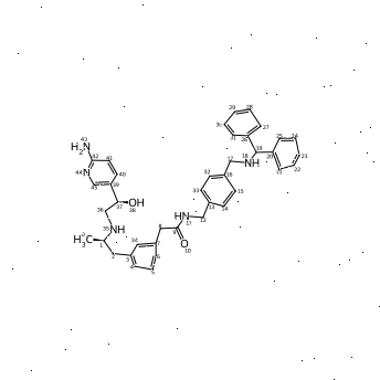 C[C@H](Cc1cccc(CC(=O)NCc2ccc(CNC(c3ccccc3)c3ccccc3)cc2)c1)NC[C@H](O)c1ccc(N)nc1